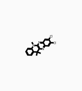 CN1c2ccccc2C(C)(C)c2nc3cc(Cl)c(Cl)cc3nc21